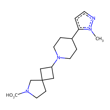 Cn1nccc1C1CCN(C2CC3(CCN(C(=O)O)C3)C2)CC1